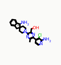 Cc1nc(N2CCC3(CC2)Cc2ccccc2[C@H]3N)c(CO)nc1-c1ccnc(N)c1Cl